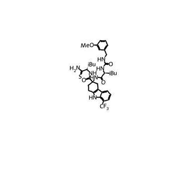 CCC(C)[C@H](NC(=O)NCc1cccc(OC)c1)C(=O)N[C@]1(C(=O)NC(C(N)=S)[C@@H](C)CC)CCc2[nH]c3c(C(F)(F)F)cccc3c2C1